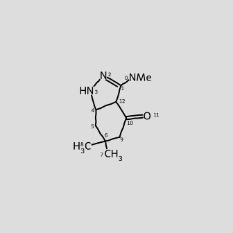 CNC1=NNC2CC(C)(C)CC(=O)C12